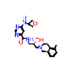 Cc1cccc2c1CCN(C[C@@H](O)CNC(=O)c1cc(NC3COC3)ncn1)C2